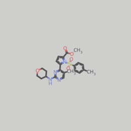 COC(=O)c1ccc(-c2nc(NC3CCOCC3)ncc2C)n1S(=O)(=O)c1ccc(C)cc1